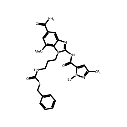 CCn1nc(C(F)(F)F)cc1C(=O)Nc1nc2cc(C(N)=O)cc(OC)c2n1CCCNC(=O)OCc1ccccc1